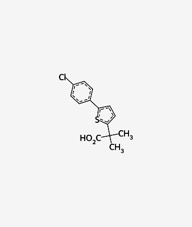 CC(C)(C(=O)O)c1ccc(-c2ccc(Cl)cc2)s1